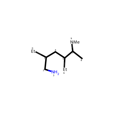 CCC(CN)CC(CC)C(C)NC